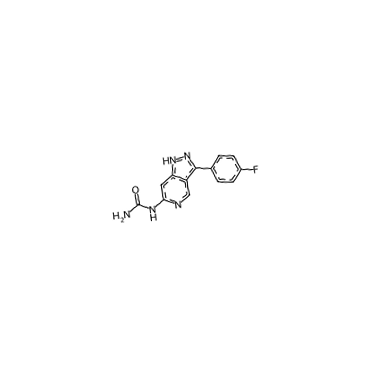 NC(=O)Nc1cc2[nH]nc(-c3ccc(F)cc3)c2cn1